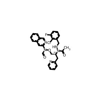 CC(=O)N(NCc1cccc(F)c1Cl)[C@H](CON(C=O)c1cc2ccccc2cn1)Cc1ccccn1